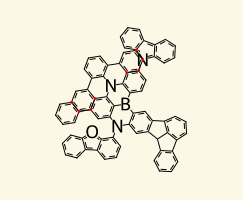 c1ccc(-c2cc3c4c(c2)N(c2cccc5c2oc2ccccc25)c2cc5c(cc2B4c2ccc(-n4c6ccccc6c6ccccc64)cc2N3c2c(-c3ccccc3)cccc2-c2ccccc2)-c2cccc3c2C5c2ccccc2-3)cc1